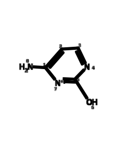 NC1=CC=NC(O)=[N+]1